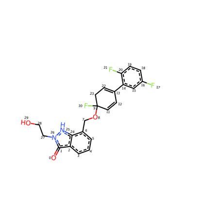 O=c1c2cccc(COC3(F)C=CC(c4cc(F)ccc4F)=CC3)c2[nH]n1CCO